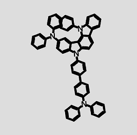 c1ccc(N(c2ccccc2)c2ccc(-c3ccc(-n4c5ccc(N(c6ccccc6)c6ccccc6)cc5c5c4ccc4c6ccccc6n(-c6ccccc6)c45)cc3)cc2)cc1